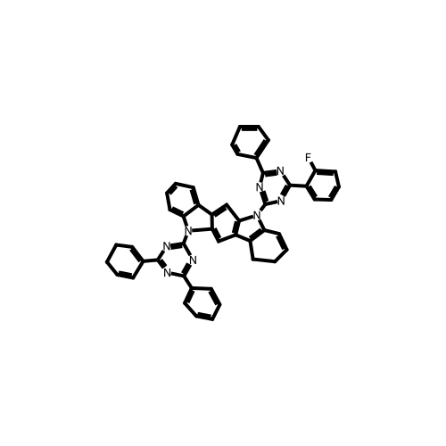 Fc1ccccc1-c1nc(-c2ccccc2)nc(-n2c3c(c4cc5c(cc42)c2ccccc2n5-c2nc(C4=CCCC=C4)nc(-c4ccccc4)n2)CCC=C3)n1